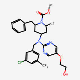 CCC1CC(N(Cc2cc(Cl)cc(C(F)(F)F)c2)c2ncc(OCCO)cn2)CC(Cc2ccccc2)N1C(=O)OC(C)C